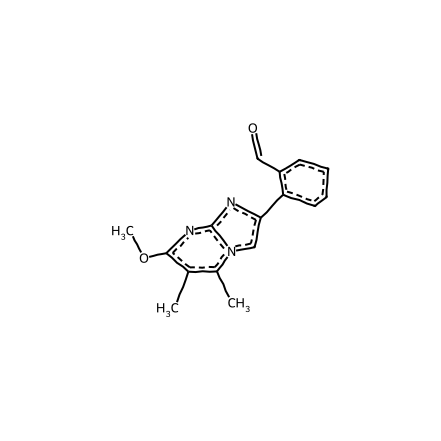 COc1nc2nc(-c3ccccc3C=O)cn2c(C)c1C